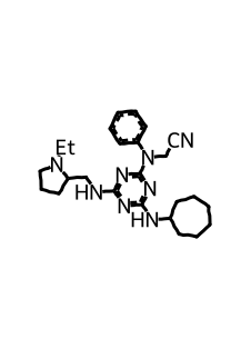 CCN1CCCC1CNc1nc(NC2CCCCCC2)nc(N(CC#N)c2ccccc2)n1